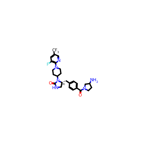 NC1CCN(C(=O)c2ccc(C[C@@H]3CNC(=O)N3C3CCN(c4ncc(C(F)(F)F)cc4F)CC3)cc2)C1